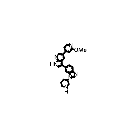 COc1cc(-c2cnc3[nH]cc(-c4ccc5ncn(C6CCCNC6)c5c4)c3c2)ccn1